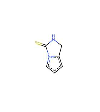 S=C1NCc2cccn21